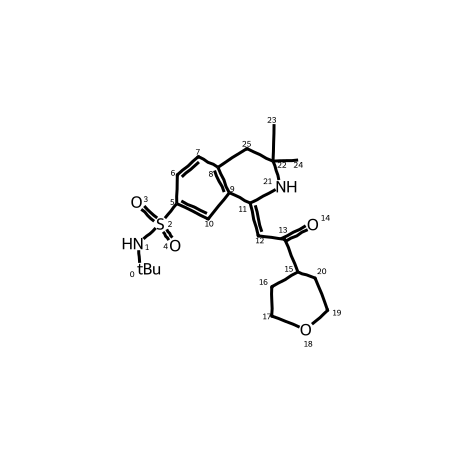 CC(C)(C)NS(=O)(=O)c1ccc2c(c1)/C(=C/C(=O)C1CCOCC1)NC(C)(C)C2